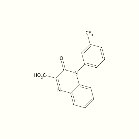 O=C(O)c1nc2ccccc2n(-c2cccc(C(F)(F)F)c2)c1=O